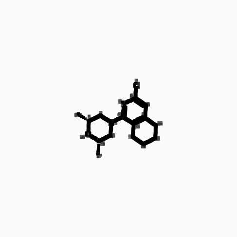 C[C@@H]1CN(c2nc(Cl)cc3c2CCCC3)C[C@H](C)O1